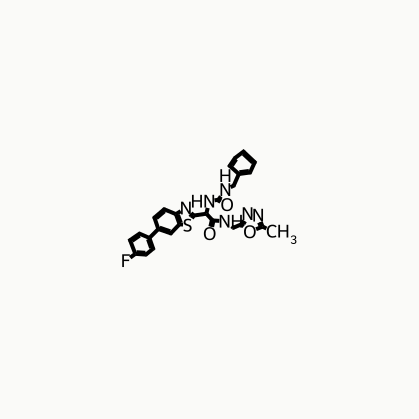 Cc1nnc(CNC(=O)C(NC(=O)NCc2ccccc2)c2nc3ccc(-c4ccc(F)cc4)cc3s2)o1